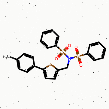 O=S(=O)(c1ccccc1)N(Cc1ccc(-c2ccc(C(F)(F)F)cc2)s1)S(=O)(=O)c1ccccc1